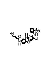 COc1ccc(NC(=O)C=CCN(C)C)cc1Nc1ncc(Cl)c(Nc2ccccc2P(C)(C)=O)n1